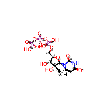 C#C[C@]1(O)C(n2ccc(=O)[nH]c2=O)O[C@H](COP(=O)(O)OP(=O)(O)OP(=O)(O)O)[C@H]1O